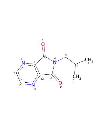 CC(C)CN1C(=O)c2nccnc2C1=O